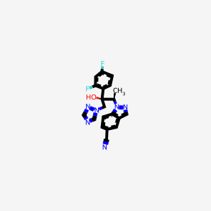 C[C@@H](n1ncc2cc(C#N)ccc21)[C@](O)(Cn1cncn1)c1ccc(F)cc1F